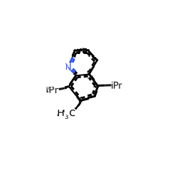 Cc1cc(C(C)C)c2cccnc2c1C(C)C